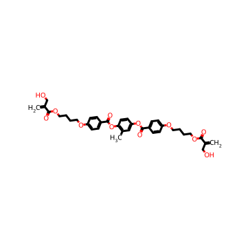 C=C(CO)C(=O)OCCCCOc1ccc(C(=O)Oc2ccc(OC(=O)c3ccc(OCCCCOC(=O)C(=C)CO)cc3)c(C)c2)cc1